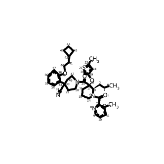 CCC[C@H]1N(C(=O)c2ncccc2C)CCC[C@@]1(Oc1csc(C)c1)C(=O)N1CCC(C#N)(c2ccccc2OCCC2CCC2)CC1